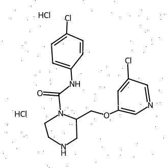 Cl.Cl.O=C(Nc1ccc(Cl)cc1)N1CCNCC1COc1cncc(Cl)c1